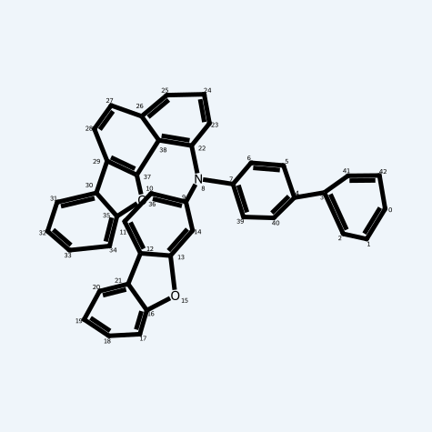 c1ccc(-c2ccc(N(c3ccc4c(c3)oc3ccccc34)c3cccc4ccc5c6ccccc6oc5c34)cc2)cc1